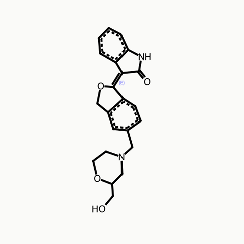 O=C1Nc2ccccc2/C1=C1\OCc2cc(CN3CCOC(CO)C3)ccc21